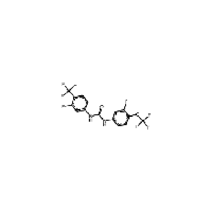 O=C(Nc1ccc(OC(F)(F)F)c(F)c1)Nc1ccc(C(F)(F)F)c(F)c1